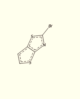 Brc1nc2sccc2s1